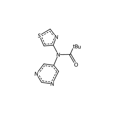 CC(C)(C)C(=O)N(c1cncnc1)c1cscn1